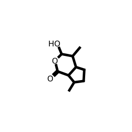 CC1CCC2C(C)C(O)OC(=O)C12